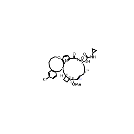 CO[C@H]1/C=C/C[C@H](C)CS(=O)(NC(=O)NC2CC2)=NC(=O)c2ccc3c(n2)N(Cc2ccc(Cl)cc2CCCCO3)C[C@@H]2CC[C@H]21